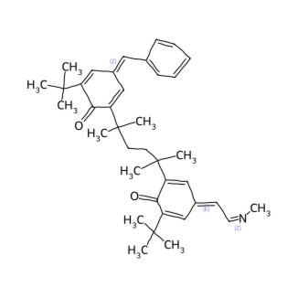 C/N=C\C=C1/C=C(C(C)(C)C)C(=O)C(C(C)(C)CCC(C)(C)C2=C/C(=C\c3ccccc3)C=C(C(C)(C)C)C2=O)=C1